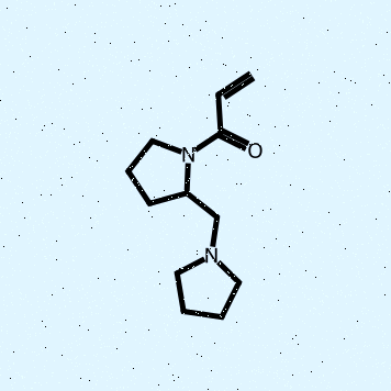 C=CC(=O)N1CCCC1CN1CCCC1